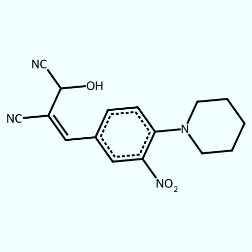 N#CC(=Cc1ccc(N2CCCCC2)c([N+](=O)[O-])c1)C(O)C#N